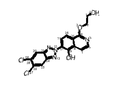 OCCOc1nccc2c(O)c(-n3nc4cc(Cl)c(Cl)cc4n3)ccc12